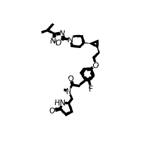 CC(C)c1noc(N2CCC([C@H]3C[C@H]3CCOc3ccc(CC(=O)N(C)CC4CCC(=O)N4)c(F)c3)CC2)n1